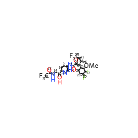 COc1c([C@H]2[C@H](C(=O)Nc3ccc([C@H](O)CNC(=O)C(F)(F)F)nc3)O[C@@](C)(C(F)(F)F)[C@H]2C)ccc(F)c1F